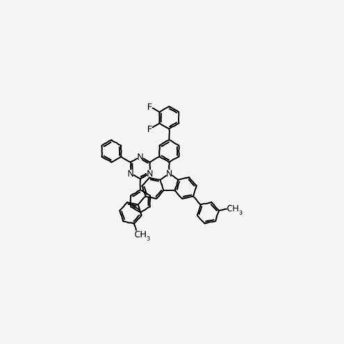 Cc1cccc(-c2ccc3c(c2)c2cc(-c4cccc(C)c4)ccc2n3-c2ccc(-c3cccc(F)c3F)cc2-c2nc(-c3ccccc3)nc(-c3ccccc3)n2)c1